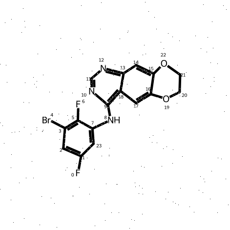 Fc1cc(Br)c(F)c(Nc2ncnc3cc4c(cc23)OCCO4)c1